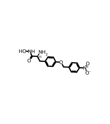 N[C@@H](Cc1ccc(OCc2ccc([N+](=O)[O-])cc2)cc1)C(=O)NO